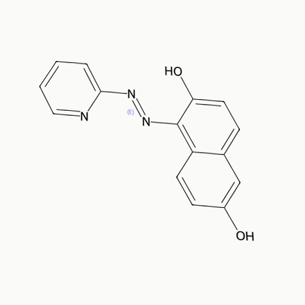 Oc1ccc2c(/N=N/c3ccccn3)c(O)ccc2c1